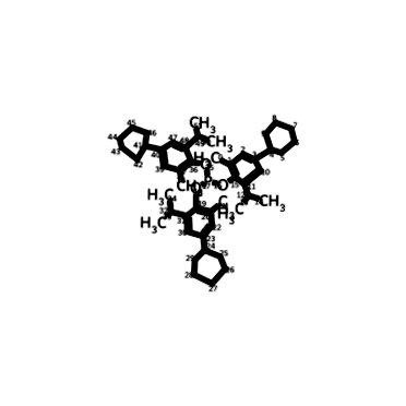 Cc1cc(C2CCCCC2)cc(C(C)C)c1OP(Oc1c(C)cc(C2CCCCC2)cc1C(C)C)Oc1c(C)cc(C2CCCCC2)cc1C(C)C